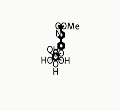 COC(=O)c1ccc(-c2ccc(O[C@@H]3O[C@H](CO)[C@@H](O)[C@H](O)[C@@H]3O)cc2)cn1